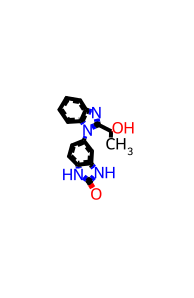 CC(O)c1nc2ccccc2n1-c1ccc2[nH]c(=O)[nH]c2c1